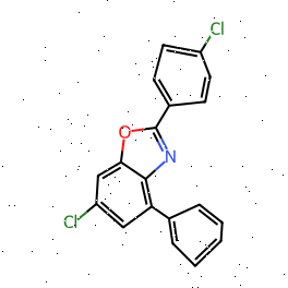 Clc1ccc(-c2nc3c(-c4ccccc4)cc(Cl)cc3o2)cc1